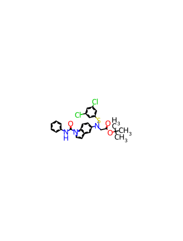 CC(C)(C)OC(=O)CN(Sc1cc(Cl)cc(Cl)c1)c1ccc2c(ccn2C(=O)Nc2ccccc2)c1